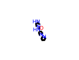 CN[C@@H]1CCN(C(=O)NC2CCN(c3ccccn3)CC2)C1